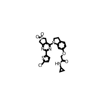 O=C(COc1ccc2c(c1)N(c1nc(-c3ccc(Cl)s3)nc3c1CS(=O)(=O)C3)CC2)NC1CC1